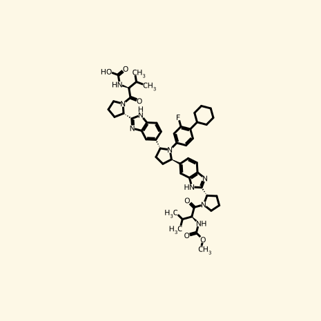 COC(=O)N[C@H](C(=O)N1CCC[C@H]1c1nc2ccc([C@H]3CC[C@H](c4ccc5[nH]c([C@@H]6CCCN6C(=O)[C@@H](NC(=O)O)C(C)C)nc5c4)N3c3ccc(C4CCCCC4)c(F)c3)cc2[nH]1)C(C)C